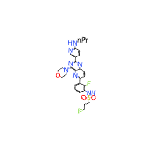 CCCNc1ccc(-c2nc(N3CCOCC3)c3nc(-c4cccc(NS(=O)(=O)CCCF)c4F)ccc3n2)cn1